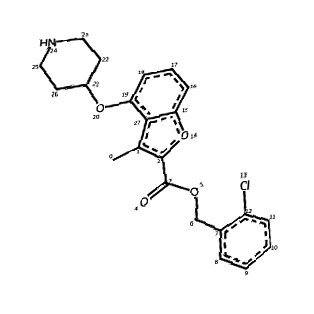 Cc1c(C(=O)OCc2ccccc2Cl)oc2cccc(OC3CCNCC3)c12